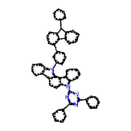 c1ccc(-c2nc(-c3ccccc3)nc(-n3c4ccccc4c4c3ccc3c5ccccc5n(-c5cccc(-c6cccc7c6-c6ccccc6C7c6ccccc6)c5)c34)n2)cc1